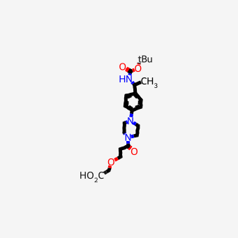 CC(NC(=O)OC(C)(C)C)c1ccc(N2CCN(C(=O)CCOCC(=O)O)CC2)cc1